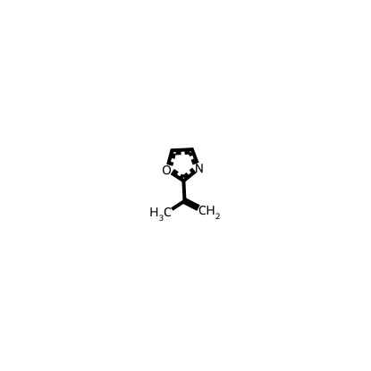 C=C(C)c1ncco1